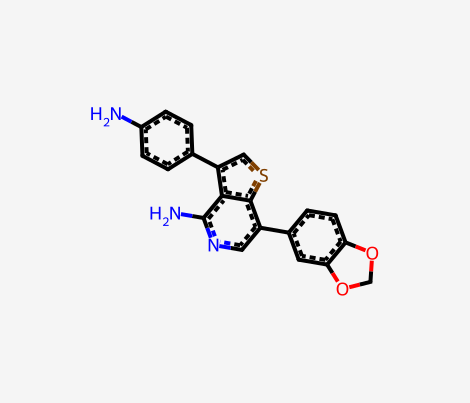 Nc1ccc(-c2csc3c(-c4ccc5c(c4)OCO5)cnc(N)c23)cc1